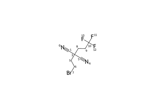 N#CC(C#N)(CCBr)CCC(F)(F)F